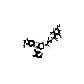 Cc1ccncc1CN(c1ccc2ncn(C)c2c1)C1CCN([C@H](C)CCNC(=O)c2c(C)cc(Cl)nc2C)CC1